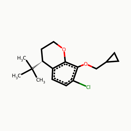 CC(C)(C)[C@@H]1CCOc2c1ccc(Cl)c2OCC1CC1